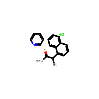 CCC(C(=O)OC)c1cccc2ccccc12.Cl.c1ccncc1